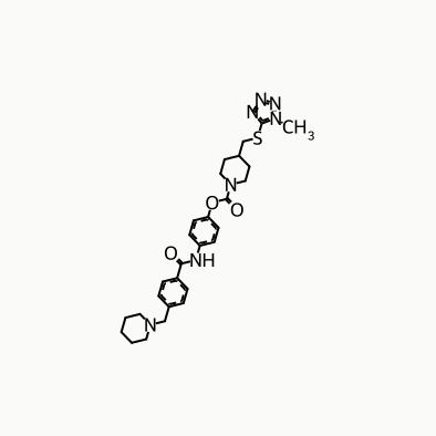 Cn1nnnc1SCC1CCN(C(=O)Oc2ccc(NC(=O)c3ccc(CN4CCCCC4)cc3)cc2)CC1